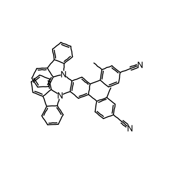 Cc1cc(C#N)ccc1-c1cc(-n2c3ccccc3c3ccccc32)c(-n2c3ccccc3c3ccccc32)cc1-c1ccc(C#N)cc1C